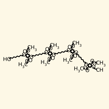 C#CCOc1cc(C(=O)OCC)c(OCCCCCCCCOc2cc(C(=O)OCC)c(OCCCCCCCCOc3cc(C(=O)OCC)c(OCCCCCCCCOc4cc(C(=O)OCC)c(OCCCCCCCCO)cc4C(=O)OCC)cc3C(=O)OCC)cc2C(=O)OCC)cc1C(=O)OCC